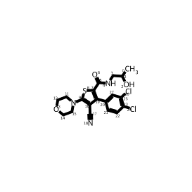 CC(O)CNC(=O)c1sc(N2CCOCC2)c(C#N)c1-c1ccc(Cl)c(Cl)c1